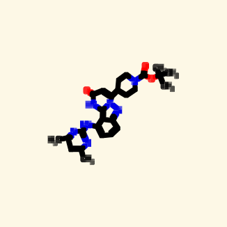 Cc1cc(C)nc(Nc2cccc3nn4c(C5CCN(C(=O)OC(C)(C)C)CC5)cc(=O)[nH]c4c23)n1